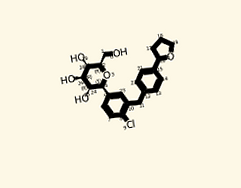 OC[C@H]1O[C@@H](c2ccc(Cl)c(Cc3ccc(C4CCCO4)cc3)c2)[C@H](O)[C@@H](O)[C@@H]1O